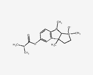 CN(C)C(=O)Oc1ccc2c(c1)C1(C)CC[N+](C)([O-])C1N2C